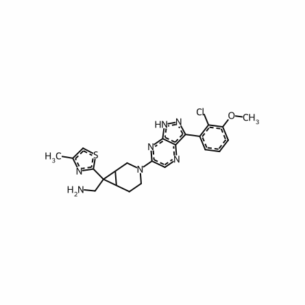 COc1cccc(-c2n[nH]c3nc(N4CCC5C(C4)C5(CN)c4nc(C)cs4)cnc23)c1Cl